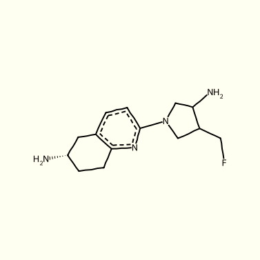 NC1CN(c2ccc3c(n2)CC[C@H](N)C3)CC1CF